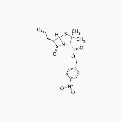 CC1(C)S[C@@H]2[C@H](CC=O)C(=O)N2[C@H]1C(=O)OCc1ccc([N+](=O)[O-])cc1